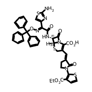 CCOC(=O)c1ccsc1N1CCC(=CC2=C(C(=O)O)N3C(=O)[C@@H](NC(=O)C(=NOC(c4ccccc4)(c4ccccc4)c4ccccc4)c4csc(N)n4)[C@H]3SC2)C1=O